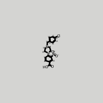 O=C(O)c1ccc(N2CCN(Cc3ccc(Cl)cc3)CC2)c([N+](=O)[O-])c1